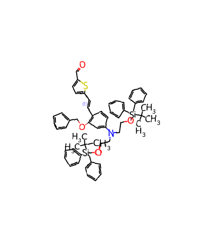 CC(C)(C)[Si](OCCN(CCO[Si](c1ccccc1)(c1ccccc1)C(C)(C)C)c1ccc(/C=C/c2ccc(C=O)s2)c(OCc2ccccc2)c1)(c1ccccc1)c1ccccc1